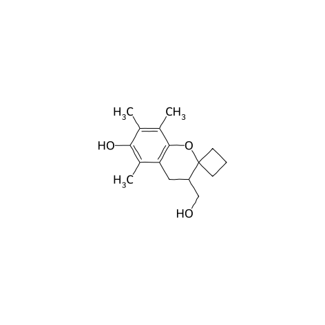 Cc1c(C)c2c(c(C)c1O)CC(CO)C1(CCC1)O2